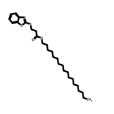 CCCCCCCCCCCCCCCCCCOC(=O)CCSc1nc2ccccc2s1